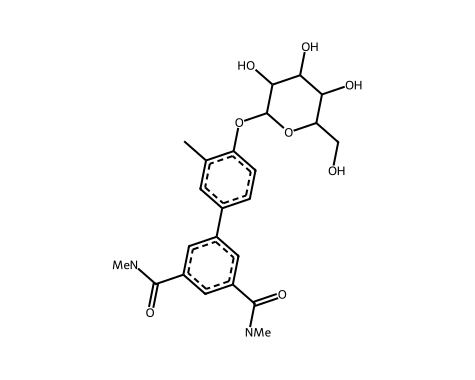 CNC(=O)c1cc(C(=O)NC)cc(-c2ccc(OC3OC(CO)C(O)C(O)C3O)c(C)c2)c1